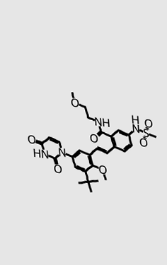 COCCNC(=O)c1cc(NS(C)(=O)=O)ccc1C=Cc1cc(-n2ccc(=O)[nH]c2=O)cc(C(C)(C)C)c1OC